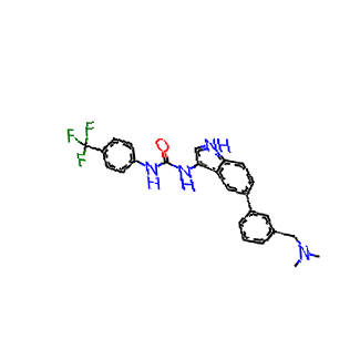 CN(C)Cc1cccc(-c2ccc3[nH]cc(NC(=O)Nc4ccc(C(F)(F)F)cc4)c3c2)c1